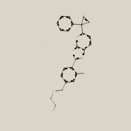 C[C@@H](CC(=O)O)NCc1ccc(-c2nc3ccc(C4(c5ccccc5)C=C4)nc3s2)c(F)c1.Cl